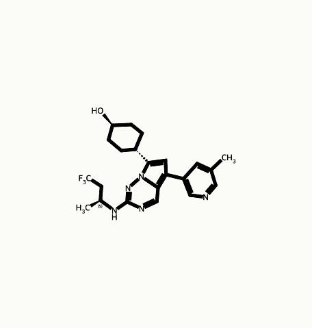 Cc1cncc(-c2cc([C@H]3CC[C@H](O)CC3)n3nc(N[C@@H](C)CC(F)(F)F)ncc23)c1